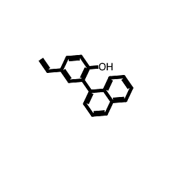 C=Cc1ccc(O)c(-c2cccc3ccccc23)c1